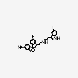 N#Cc1ccc2c(c1)COC2(CCCCNCCCc1c[nH]c2ccc(I)cc12)c1ccc(F)cc1